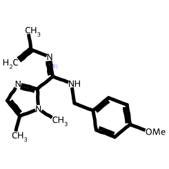 C=C(C)/N=C(/NCc1ccc(OC)cc1)c1ncc(C)n1C